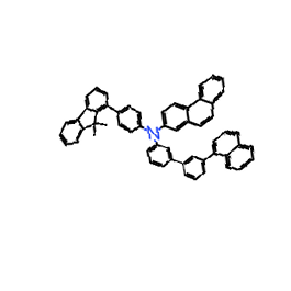 CC1(C)c2ccccc2-c2cccc(-c3ccc(N(c4cccc(-c5cccc(-c6cccc7ccccc67)c5)c4)c4ccc5c(ccc6ccccc65)c4)cc3)c21